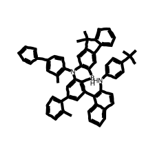 Cc1ccccc1-c1cc(-c2c(Nc3ccc(C(C)(C)C)cc3)ccc3ccccc23)c2c(c1)N(c1ccc(-c3ccccc3)cc1C)c1cc3c(cc1B2)-c1ccccc1C3(C)C